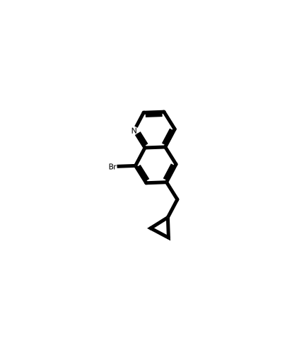 Brc1cc(CC2CC2)cc2cccnc12